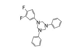 Fc1ccc(N2CN(c3ccccc3)CN(c3ccccc3)C2)cc1F